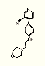 N#Cc1cnccc1-c1ccc(NCCN2CCOCC2)cc1